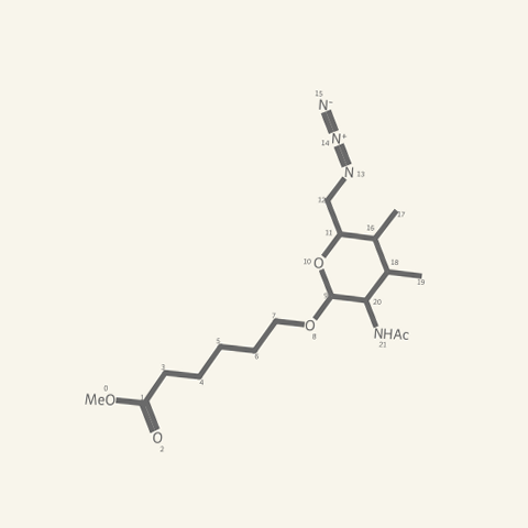 COC(=O)CCCCCOC1OC(CN=[N+]=[N-])C(C)C(C)C1NC(C)=O